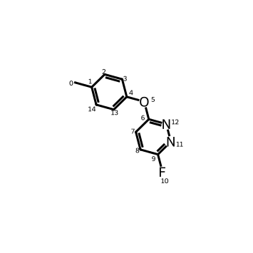 Cc1ccc(Oc2ccc(F)nn2)cc1